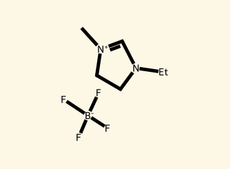 CCN1C=[N+](C)CC1.F[B-](F)(F)F